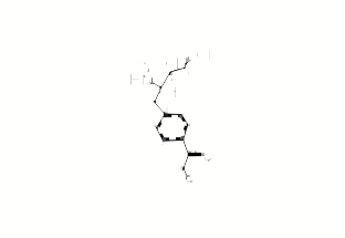 O=C(O)N[C@@](I)(CCO)Cc1ccc(C(=O)CBr)cc1